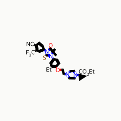 CCOC(=O)C1(N2CCN(CCOc3ccc(N4C(=S)N(c5ccc(C#N)c(C(F)(F)F)c5)C(=O)C4(C)C)cc3CC)CC2)CC1